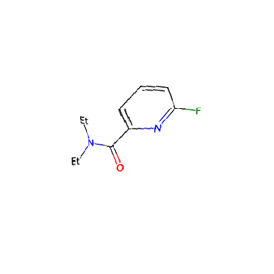 CCN(CC)C(=O)c1cccc(F)n1